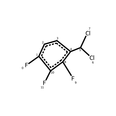 Fc1ccc(C(Cl)Cl)c(F)c1F